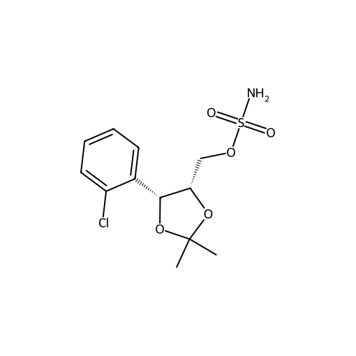 CC1(C)O[C@@H](COS(N)(=O)=O)[C@@H](c2ccccc2Cl)O1